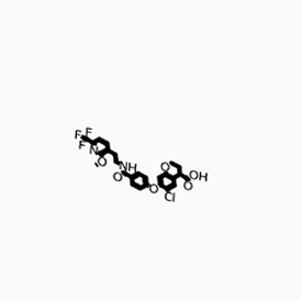 COc1nc(C(F)(F)F)ccc1CCNC(=O)c1ccc(Oc2cc3c(cc2Cl)C(C(=O)O)CCO3)cc1